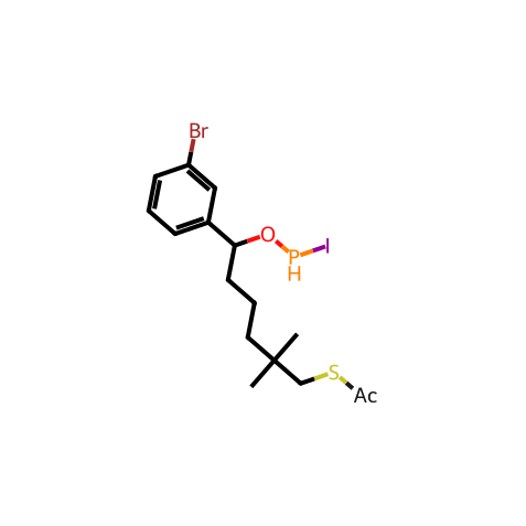 CC(=O)SCC(C)(C)CCCC(OPI)c1cccc(Br)c1